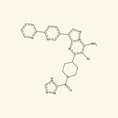 CC(=O)c1c(C2CCN(C(=O)c3nnc[nH]3)CC2)nc2c(-c3ccc(-c4ccccn4)nc3)cnn2c1N